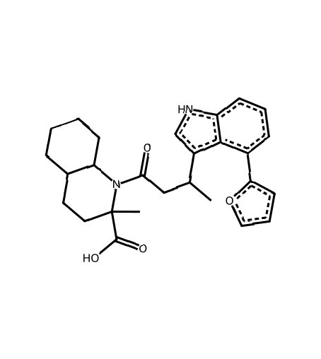 CC(CC(=O)N1C2CCCCC2CCC1(C)C(=O)O)c1c[nH]c2cccc(-c3ccco3)c12